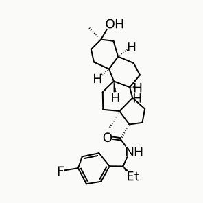 CC[C@H](NC(=O)[C@H]1CC[C@H]2[C@@H]3CC[C@@H]4C[C@](C)(O)CC[C@@H]4[C@H]3CC[C@]12C)c1ccc(F)cc1